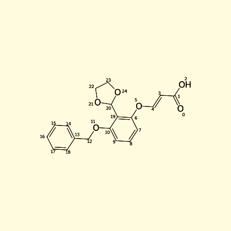 O=C(O)/C=C/Oc1cccc(OCc2ccccc2)c1C1OCCO1